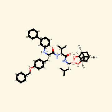 CC(C)C[C@H](NC(=O)[C@@H](NC(=O)[C@H](Cc1ccc(OCc2ccccc2)cc1)Nc1cccc(-c2ccccc2)c1)C(C)C)B1O[C@@H]2C[C@@H]3C[C@@H](C3(C)C)[C@]2(C)O1